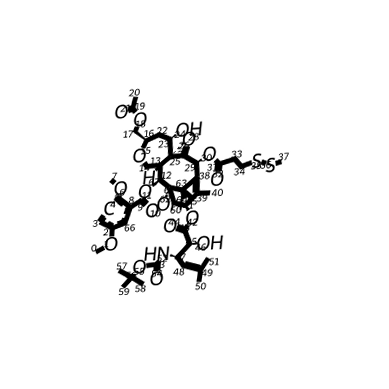 COc1ccc(OC)c(C(=O)O[C@H]2[C@@H]3CO[C@@H](COC(C)=O)C[C@H](O)[C@@]3(C)C(=O)[C@H](OC(=O)CCSSC)C3=C(C)[C@@H](OC(=O)[C@H](O)[C@H](C=C(C)C)NC(=O)OC(C)(C)C)C[C@]2(O)C3(C)C)c1